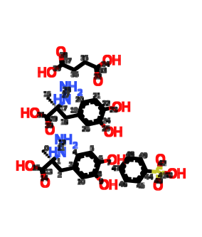 C[C@@](Cc1ccc(O)c(O)c1)(NN)C(=O)O.C[C@@](Cc1ccc(O)c(O)c1)(NN)C(=O)O.O=C(O)CCC(=O)O.O=S(=O)(O)c1ccccc1